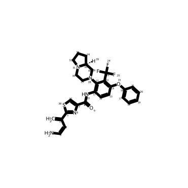 C=C(/C=C\N)c1nc(C(=O)Nc2ccc(Oc3ccccc3)c(C(F)(F)F)c2N2CCN3CCC[C@H]3C2)cs1